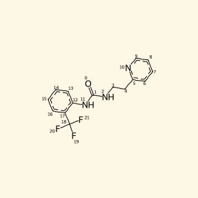 O=C(NCCc1ccccn1)Nc1ccccc1C(F)(F)F